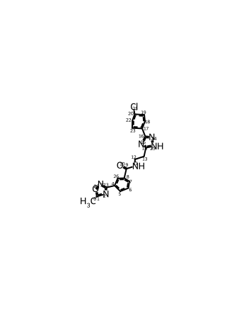 Cc1nc(-c2cccc(C(=O)NCCc3nc(-c4ccc(Cl)cc4)n[nH]3)c2)no1